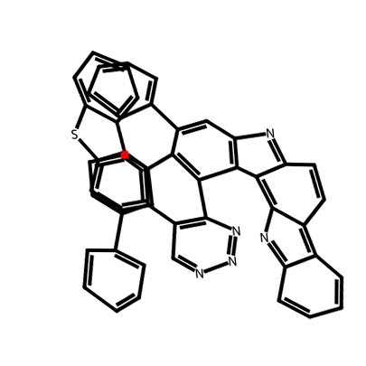 c1ccc(-c2ccccc2-c2cnnnc2-c2c3c(cc(-c4ccccc4)c2-c2cccc4sc5ccccc5c24)N=c2ccc4c(c2-3)N=c2ccccc2=4)cc1